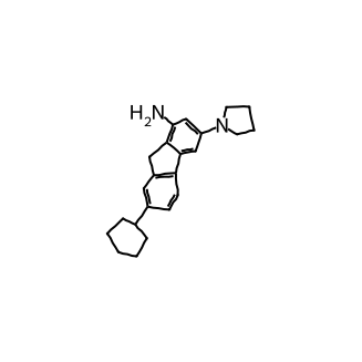 Nc1cc(N2CCCC2)cc2c1Cc1cc(C3CCCCC3)ccc1-2